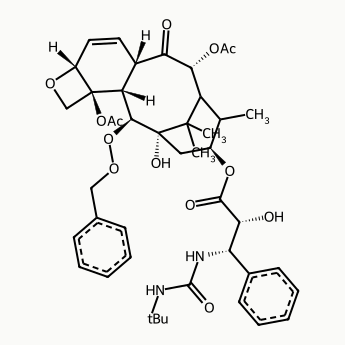 CC(=O)O[C@H]1C(=O)[C@H]2C=C[C@H]3OC[C@@]3(OC(C)=O)[C@H]2[C@H](OOCc2ccccc2)[C@]2(O)C[C@H](OC(=O)[C@H](O)[C@@H](NC(=O)NC(C)(C)C)c3ccccc3)C(C)C1C2(C)C